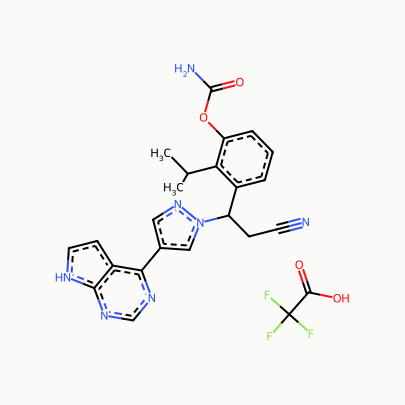 CC(C)c1c(OC(N)=O)cccc1C(CC#N)n1cc(-c2ncnc3[nH]ccc23)cn1.O=C(O)C(F)(F)F